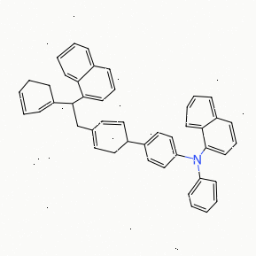 C1=CCCC(C(CC2=CCC(c3ccc(N(c4ccccc4)c4cccc5ccccc45)cc3)C=C2)c2cccc3ccccc23)=C1